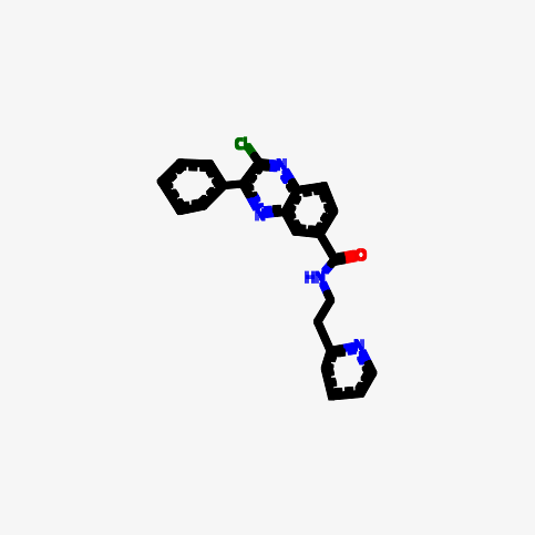 O=C(NCCc1ccccn1)c1ccc2nc(Cl)c(-c3ccccc3)nc2c1